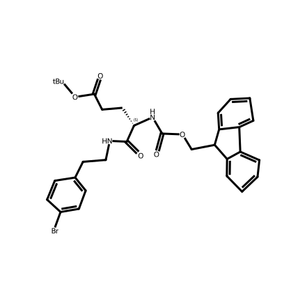 CC(C)(C)OC(=O)CC[C@H](NC(=O)OCC1c2ccccc2-c2ccccc21)C(=O)NCCc1ccc(Br)cc1